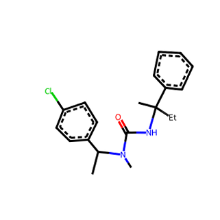 CCC(C)(NC(=O)N(C)C(C)c1ccc(Cl)cc1)c1ccccc1